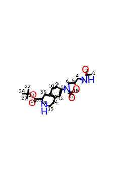 CC(=O)NCC1CN(c2ccc3c(c2)CCNC(C(=O)OC(C)(C)C)C3)C(=O)O1